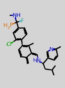 C=c1ccc(-c2ccc(C(F)(P)NC)cc2Cl)c(C)/c1=C/NC(CC(C)C)c1ccc(C)nc1